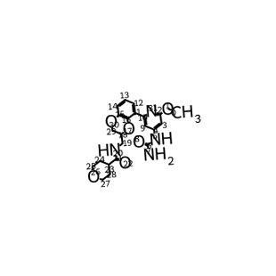 COc1cc(NC(N)=O)cc(-c2cccc3c2OC(CNC(=O)C2CCOCC2)CO3)n1